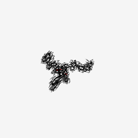 c1cc(-c2cccc3c(-c4ccc5ccc6ccccc6c5c4)cccc23)cc(N(c2cccc(-c3cccc4c(-c5ccc6ccc7ccccc7c6c5)cccc34)c2)c2ccccc2-c2ccccc2-n2c3ccc4ccccc4c3c3c4ccccc4ccc32)c1